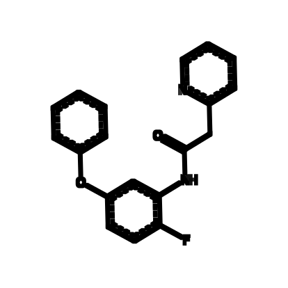 O=C(Cc1ccccn1)Nc1cc(Oc2ccccc2)ccc1F